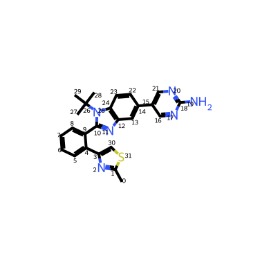 Cc1nc(-c2ccccc2-c2nc3cc(-c4cnc(N)nc4)ccc3n2C(C)(C)C)cs1